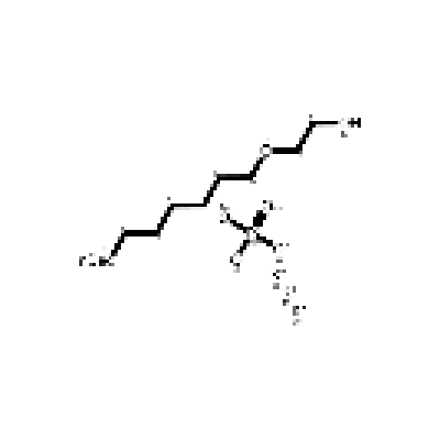 CCCCCCCCCCCCCCCCOCCO.O=P([O-])([O-])[O-].[K+].[K+].[K+]